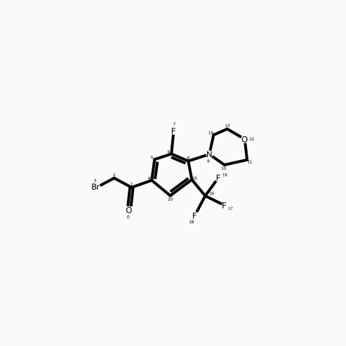 O=C(CBr)c1cc(F)c(N2CCOCC2)c(C(F)(F)F)c1